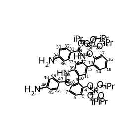 CC(C)O[Si](Oc1ccccc1-c1cc(-c2ccccc2O[Si](OC(C)C)(OC(C)C)OC(C)C)c(NC(=O)c2ccc(N)cc2)cc1NC(=O)c1ccc(N)cc1)(OC(C)C)OC(C)C